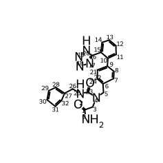 NC(=O)CN(Cc1ccc(-c2ccccc2-c2nnn[nH]2)cc1)C(=O)NCc1ccccc1